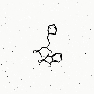 O=C1C[C@@H](CCc2ccccc2)O[C@]2(C1)C(=O)Nc1ccccc12